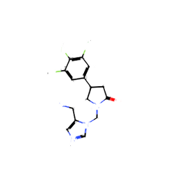 NCc1cncn1CN1CC(c2cc(F)c(F)c(F)c2)CC1=O